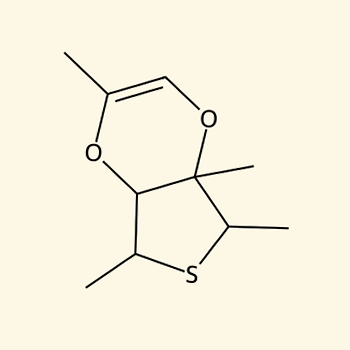 CC1=COC2(C)C(C)SC(C)C2O1